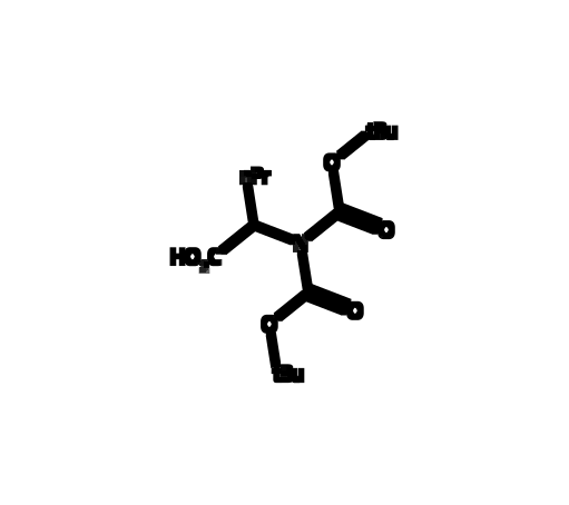 CCCC(C(=O)O)N(C(=O)OC(C)(C)C)C(=O)OC(C)(C)C